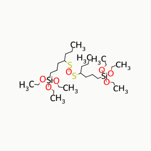 CCCC(CCC[Si](OCC)(OCC)OCC)SOSC(CCC)CCC[Si](OCC)(OCC)OCC